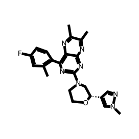 Cc1cc(F)ccc1-c1nc(N2CCO[C@@H](c3cnn(C)c3)C2)nc2nc(C)c(C)nc12